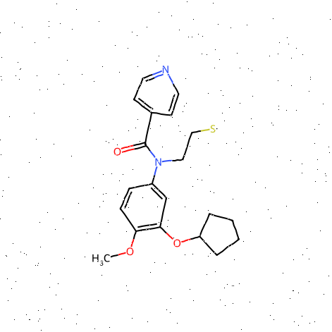 COc1ccc(N(CC[S])C(=O)c2ccncc2)cc1OC1CCCC1